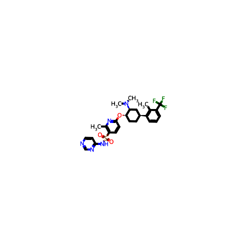 Cc1nc(O[C@H]2CC[C@H](c3cccc(C(F)(F)F)c3C)C[C@@H]2N(C)C)ccc1S(=O)(=O)Nc1ccncn1